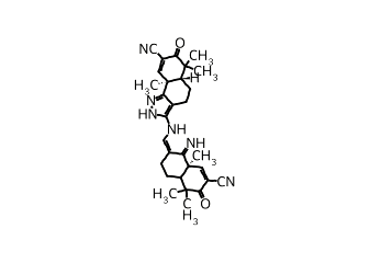 CC1(C)C(=O)C(C#N)=C[C@]2(C)C(=N)/C(=C\Nc3[nH]nc4c3CC[C@H]3C(C)(C)C(=O)C(C#N)=C[C@]43C)CCC12